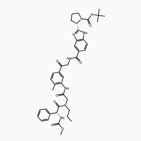 CCCN(CC(=O)Nc1cc(C(=O)CNC(=O)c2ccc3[nH]c([C@@H]4CCCN4C(=O)OC(C)(C)C)nc3c2)ccc1C)C(=O)[C@H](NC(=O)OC)c1ccccc1